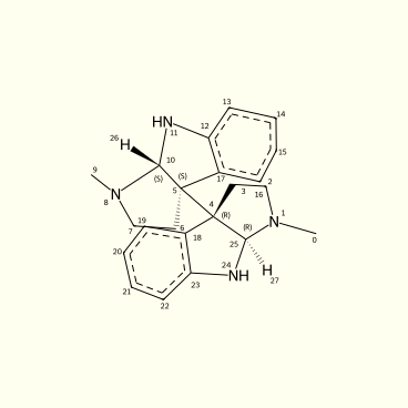 CN1CC[C@]2([C@@]34CCN(C)[C@@H]3Nc3ccccc34)c3ccccc3N[C@H]12